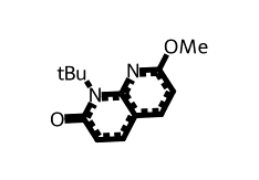 COc1ccc2ccc(=O)n(C(C)(C)C)c2n1